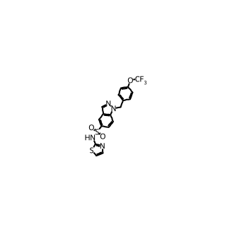 O=S(=O)(Nc1nccs1)c1ccc2c(cnn2Cc2ccc(OC(F)(F)F)cc2)c1